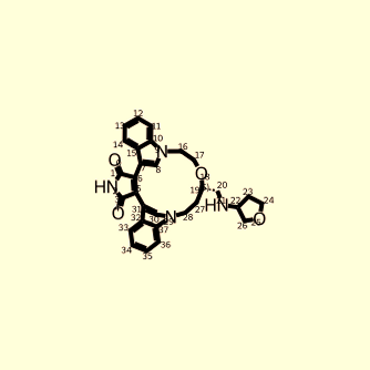 O=C1NC(=O)C2=C1c1cn(c3ccccc13)CCO[C@H](CNC1CCOC1)CCn1cc2c2ccccc21